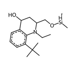 CCN1c2c(cccc2C(C)(C)C)C(O)CC1CO[SiH](C)C